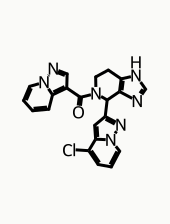 O=C(c1cnn2ccccc12)N1CCc2[nH]cnc2C1c1cc2c(Cl)cccn2n1